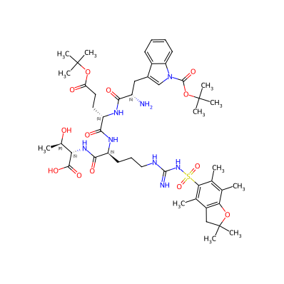 Cc1c(C)c(S(=O)(=O)NC(=N)NCCC[C@H](NC(=O)[C@H](CCC(=O)OC(C)(C)C)NC(=O)[C@@H](N)Cc2cn(C(=O)OC(C)(C)C)c3ccccc23)C(=O)N[C@H](C(=O)O)[C@@H](C)O)c(C)c2c1OC(C)(C)C2